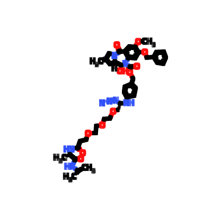 C=C1C[C@H]2[C@H](O)N(C(=O)OCc3ccc(N[C@H](COCCOCCOCCC(=O)N[C@@H](C)C(=O)NC(C)C)N=[N+]=[N-])cc3)c3cc(OCc4ccccc4)c(OC)cc3C(=O)N2C1